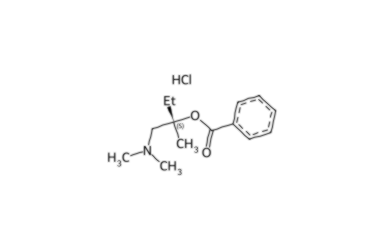 CC[C@@](C)(CN(C)C)OC(=O)c1ccccc1.Cl